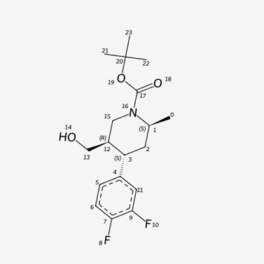 C[C@H]1C[C@H](c2ccc(F)c(F)c2)[C@@H](CO)CN1C(=O)OC(C)(C)C